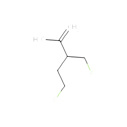 C=C(C)C(CF)CCF